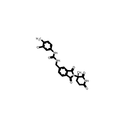 Cc1ccc(NC(=O)NCc2ccc3c(c2)C(=O)N([C@@]2(C)CCC(=O)NC2=O)C3=O)cc1Cl